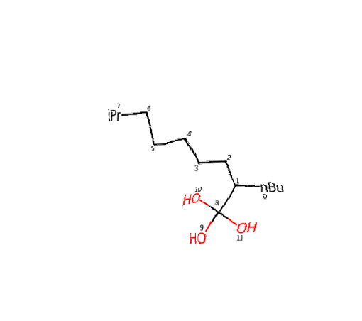 CCCCC(CCCCCC(C)C)C(O)(O)O